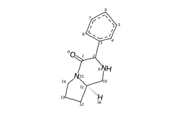 O=C1C(c2ccccc2)NC[C@H]2CCCN12